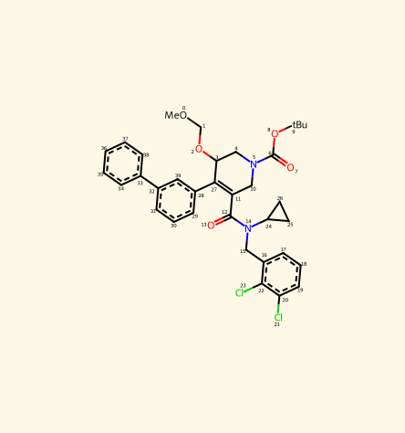 COCOC1CN(C(=O)OC(C)(C)C)CC(C(=O)N(Cc2cccc(Cl)c2Cl)C2CC2)=C1c1cccc(-c2ccccc2)c1